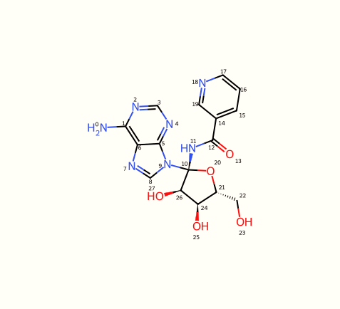 Nc1ncnc2c1ncn2[C@]1(NC(=O)c2cccnc2)O[C@H](CO)[C@@H](O)[C@H]1O